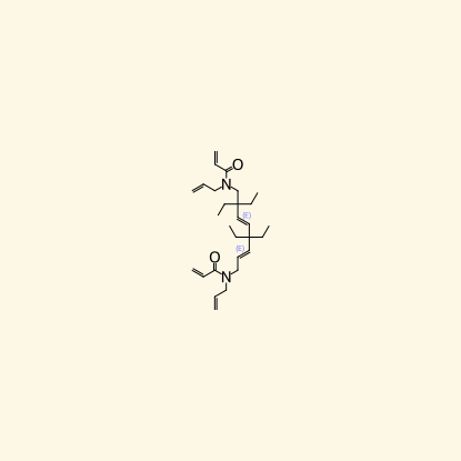 C=CCN(C/C=C/C(/C=C/C(CC)(CC)CN(CC=C)C(=O)C=C)(CC)CC)C(=O)C=C